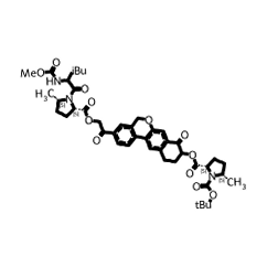 CCC(C)C(NC(=O)OC)C(=O)N1[C@@H](C)CC[C@H]1C(=O)OCC(=O)c1ccc2c(c1)COc1cc3c(cc1-2)CCC(OC(=O)[C@@H]1CC[C@H](C)N1C(=O)OC(C)(C)C)C3=O